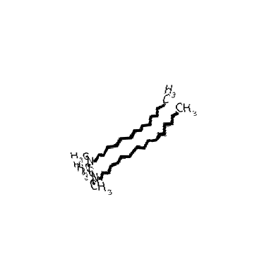 CCCCCCCCCCCCCCCCCCN(C)C.CCCCCCCCCCCCCCCCN(C)C